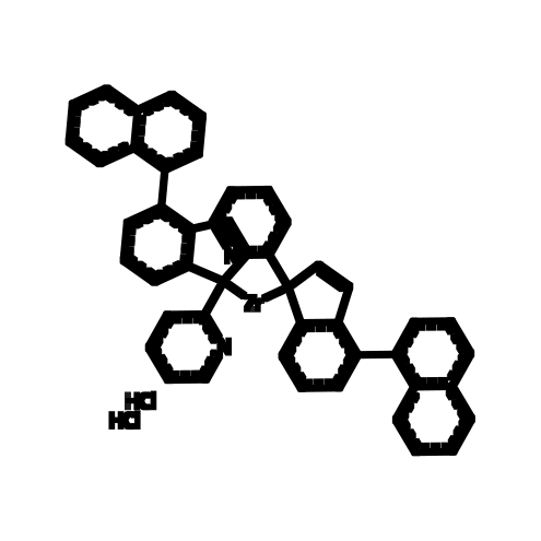 C1=C[C]([Zr][C]2(c3ccccn3)C=Cc3c(-c4cccc5ccccc45)cccc32)(c2ccccn2)c2cccc(-c3cccc4ccccc34)c21.Cl.Cl